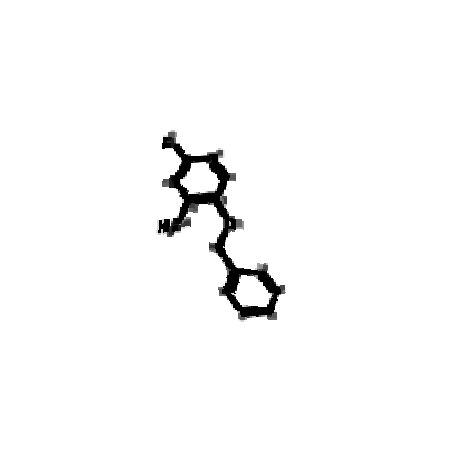 CCc1ncc(OCc2ccccc2)c(C)n1